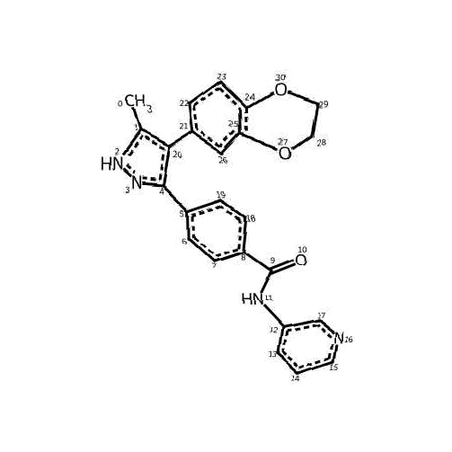 Cc1[nH]nc(-c2ccc(C(=O)Nc3cccnc3)cc2)c1-c1ccc2c(c1)OCCO2